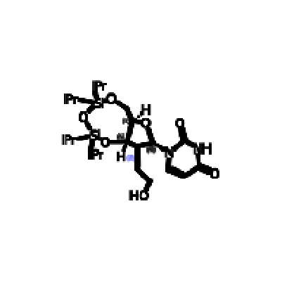 CC(C)[Si]1(C(C)C)OC[C@H]2O[C@@H](n3ccc(=O)[nH]c3=O)/C(=C\CO)[C@@H]2O[Si](C(C)C)(C(C)C)O1